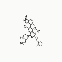 Cc1ccc2[nH]ncc2c1-c1c(Cl)cc2c(N3CCNC(CC#N)C3)nc(OC[C@@H]3CCCN3C)nc2c1OC1CC1